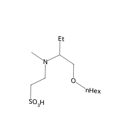 CCCCCCOCC(CC)N(C)CCS(=O)(=O)O